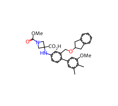 COC(=O)N1CC(Nc2ccc(-c3cc(C)c(C)c(OC)c3)c(COC3Cc4ccccc4C3)c2)(C(=O)O)C1